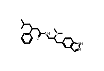 CC(C)CC(CC(=O)NCC(Cc1ccc2[nH]ncc2c1)N(C)C)c1ccccc1